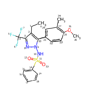 CCc1c(C(F)(F)F)nn(NS(=O)(=O)c2ccccc2)c1-c1ccc(OC)c(C)c1